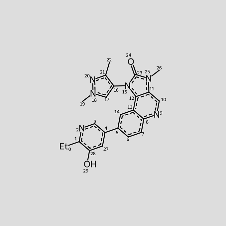 CCc1ncc(-c2ccc3ncc4c(c3c2)n(-c2cn(C)nc2C)c(=O)n4C)cc1O